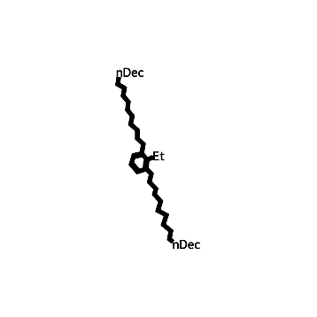 [CH2]Cc1c(CCCCCCCCCCCCCCCCCCCC)cccc1CCCCCCCCCCCCCCCCCCCC